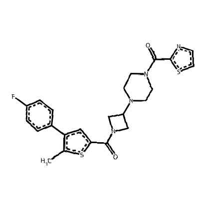 Cc1sc(C(=O)N2CC(N3CCN(C(=O)c4nccs4)CC3)C2)cc1-c1ccc(F)cc1